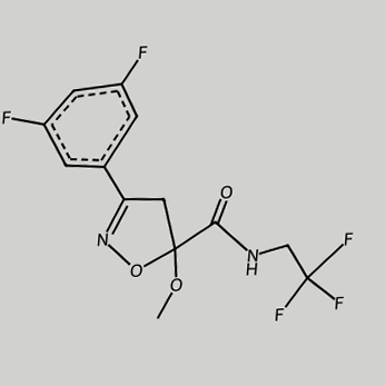 COC1(C(=O)NCC(F)(F)F)CC(c2cc(F)cc(F)c2)=NO1